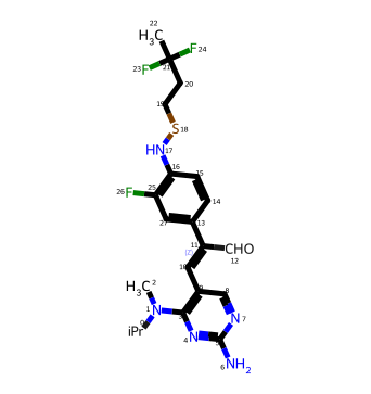 CC(C)N(C)c1nc(N)ncc1/C=C(\C=O)c1ccc(NSCCC(C)(F)F)c(F)c1